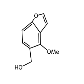 COc1c(CO)ccc2occc12